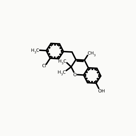 CC1=C(Cc2ccc(C)c(Cl)c2)C(C)(C)Oc2cc(O)ccc21